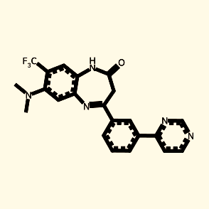 CN(C)c1cc2c(cc1C(F)(F)F)NC(=O)CC(c1cccc(-c3ccncn3)c1)=N2